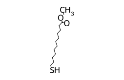 CCOC(=O)CCCCCCCCCCCS